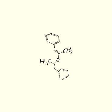 CC(=Cc1ccccc1)OC(C)=Cc1ccccc1